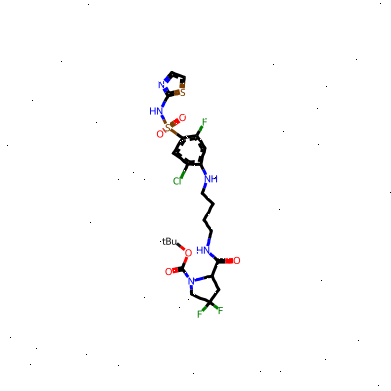 CC(C)(C)OC(=O)N1CC(F)(F)CC1C(=O)NCCCCNc1cc(F)c(S(=O)(=O)Nc2nccs2)cc1Cl